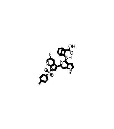 Cc1ccc(S(=O)(=O)n2cc(-c3cc4c(ccn4C)c(NC4C5CCC(CC5)C4C(=O)O)n3)c3cc(F)cnc32)cc1